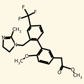 COC(=O)Cc1ccc(OC)c(-c2ccc(C(F)(F)F)cc2CN2CCN=C2C)c1